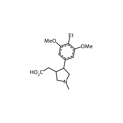 CCc1c(OC)cc(C2CN(C)CC2CC(=O)O)cc1OC